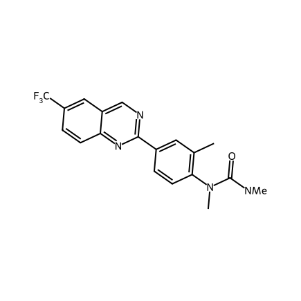 CNC(=O)N(C)c1ccc(-c2ncc3cc(C(F)(F)F)ccc3n2)cc1C